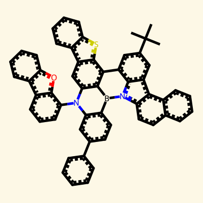 CC(C)(C)c1cc2c3c(c1)c1c4ccccc4ccc1n3B1c3ccc(-c4ccccc4)cc3N(c3cccc4c3oc3ccccc34)c3cc4c(sc5ccccc54)c-2c31